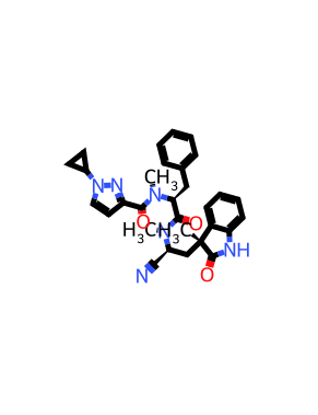 CN(C(=O)[C@H](Cc1ccccc1)N(C)C(=O)c1ccn(C2CC2)n1)[C@H](C#N)C[C@@]1(C)C(=O)Nc2ccccc21